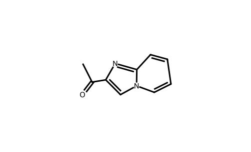 CC(=O)c1cn2ccccc2n1